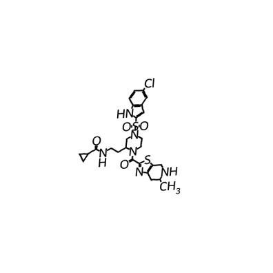 CC1Cc2nc(C(=O)N3CCN(S(=O)(=O)c4cc5cc(Cl)ccc5[nH]4)CC3CCNC(=O)C3CC3)sc2CN1